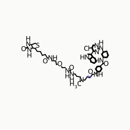 CN(C/C=C/C(=O)Nc1ccc(C(=O)Nc2cccc(Nc3ncc(Cl)c(-c4c[nH]c5ccccc45)n3)c2)cc1)CCCNC(=O)NCCOCCCNC(=O)CCCCC1SCC2NC(=O)NC21